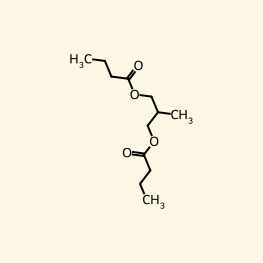 CCCC(=O)OCC(C)COC(=O)CCC